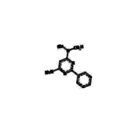 CNc1cc(N(C(=O)O)C(C)(C)C)nc(-c2ccccc2)n1